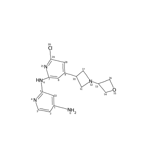 Nc1ccnc(Nc2cc(C3CN(C4COC4)C3)cc(Cl)n2)c1